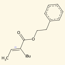 C/C=C(/C(=O)OCCc1ccccc1)C(C)CC